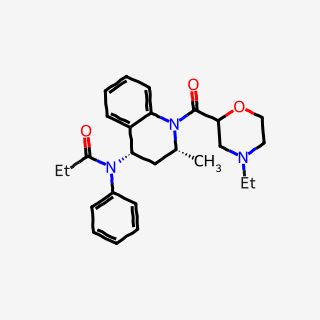 CCC(=O)N(c1ccccc1)[C@H]1C[C@@H](C)N(C(=O)C2CN(CC)CCO2)c2ccccc21